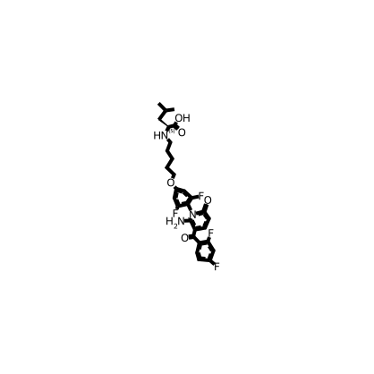 CC(C)C[C@H](NCCCCCOc1cc(F)c(-n2c(N)c(C(=O)c3ccc(F)cc3F)ccc2=O)c(F)c1)C(=O)O